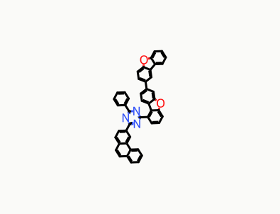 c1ccc(-c2nc(-c3ccc4ccc5ccccc5c4c3)nc(-c3cccc4oc5cc(-c6ccc7oc8ccccc8c7c6)ccc5c34)n2)cc1